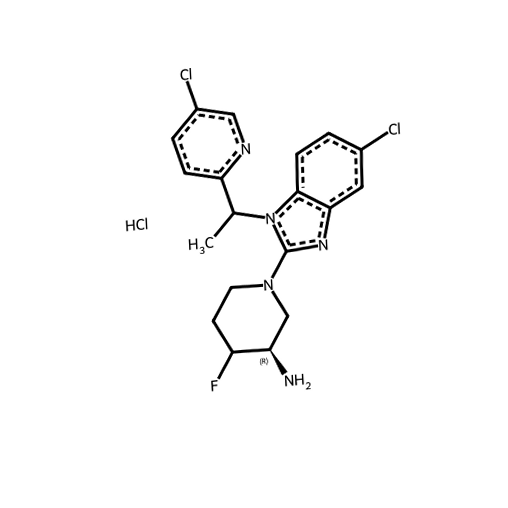 CC(c1ccc(Cl)cn1)n1c(N2CCC(F)[C@H](N)C2)nc2cc(Cl)ccc21.Cl